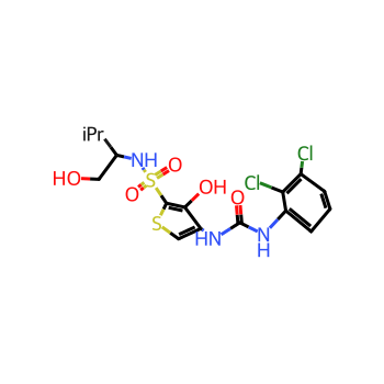 CC(C)C(CO)NS(=O)(=O)c1scc(NC(=O)Nc2cccc(Cl)c2Cl)c1O